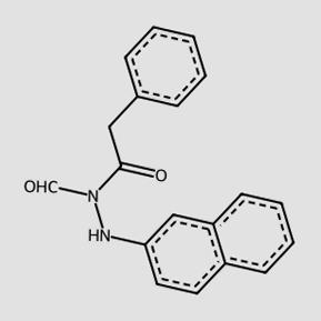 O=CN(Nc1ccc2ccccc2c1)C(=O)Cc1ccccc1